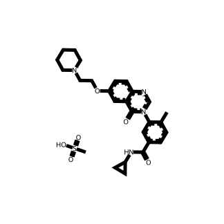 CS(=O)(=O)O.Cc1ccc(C(=O)NC2CC2)cc1-n1cnc2ccc(OCCN3CCCCC3)cc2c1=O